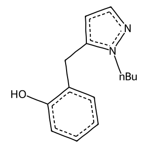 CCCCn1nccc1Cc1ccccc1O